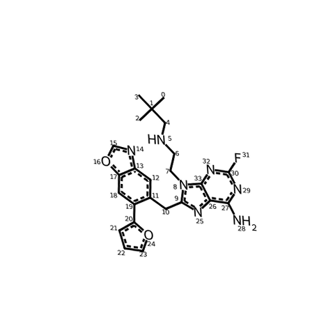 CC(C)(C)CNCCn1c(Cc2cc3ncoc3cc2-c2ccco2)nc2c(N)nc(F)nc21